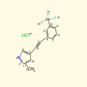 Cc1cncc(C#Cc2cccc(C(F)(F)F)c2)c1.Cl